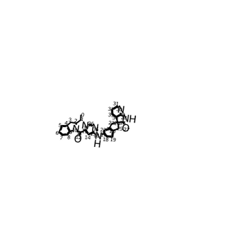 CCC1Cc2ccccc2N1C(=O)c1cc(Nc2ccc3c(c2)CC2(C3)C(=O)Nc3ncccc32)ncn1